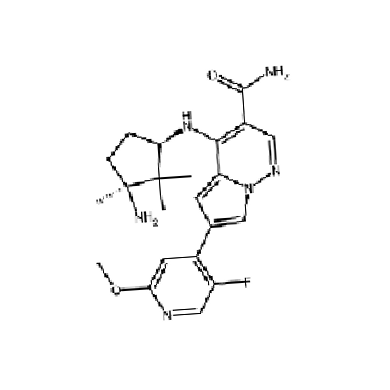 COc1cc(-c2cc3c(N[C@@H]4CC[C@](C)(N)C4(C)C)c(C(N)=O)cnn3c2)c(F)cn1